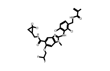 C=C(C)C(=O)NCc1ccc(Cl)c(Nc2nc3cc(C(=O)NCC4CC4(Cl)Cl)c(OCC(F)F)cc3n2C)c1Cl